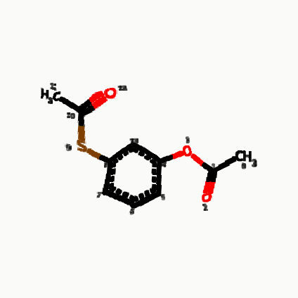 CC(=O)Oc1cc[c]c(SC(C)=O)c1